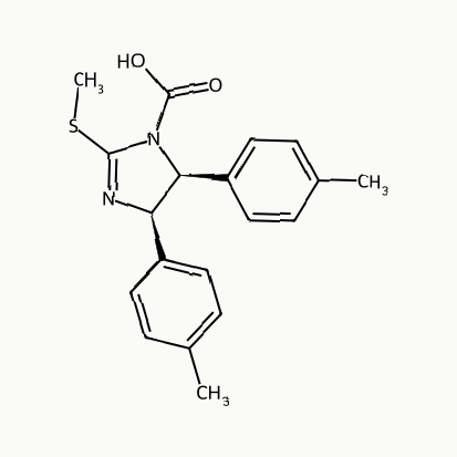 CSC1=N[C@H](c2ccc(C)cc2)[C@H](c2ccc(C)cc2)N1C(=O)O